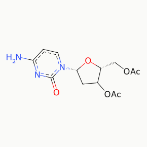 CC(=O)OC[C@H]1O[C@@H](n2ccc(N)nc2=O)CC1OC(C)=O